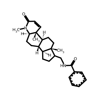 CN1C(=O)C=C[C@]2(C)[C@H]3CC[C@]4(C)C(CNC(=O)c5ccccc5)CC[C@H]4[C@@H]3CC[C@@H]12